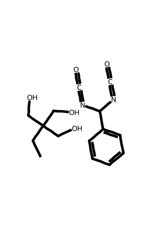 CCC(CO)(CO)CO.O=C=NC(N=C=O)c1ccccc1